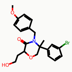 COc1ccc(CN2C(=O)C(CCO)OCC2(C)c2cccc(Br)c2)cc1